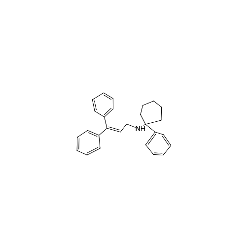 C(CNC1(c2ccccc2)CCCCC1)=C(c1ccccc1)c1ccccc1